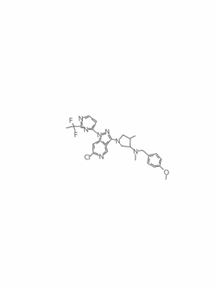 COc1ccc(CN(C)C2CN(c3nn(-c4ccnc(C(C)(F)F)n4)c4cc(Cl)ncc34)CC2C)cc1